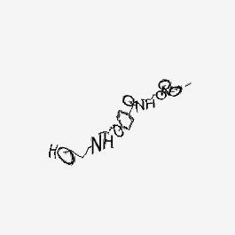 O=C(NCCCO[N+](=O)[O-])c1ccc(OCCCNCCCO)cc1